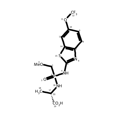 COCP(=O)(Nc1nc2ccc(OC(F)(F)F)cc2s1)N[C@@H](C)C(=O)O